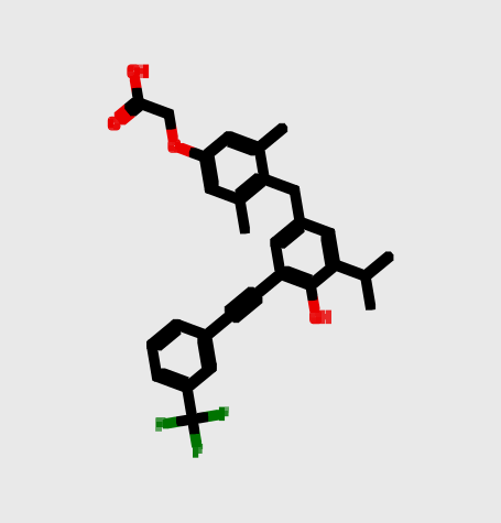 Cc1cc(OCC(=O)O)cc(C)c1Cc1cc(C#Cc2cccc(C(F)(F)F)c2)c(O)c(C(C)C)c1